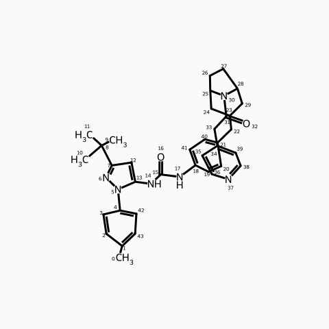 Cc1ccc(-n2nc(C(C)(C)C)cc2NC(=O)Nc2ccc(CC3CC4CCC(C3)N4C(=O)Cc3ccncc3)cc2)cc1